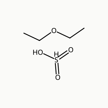 CCOCC.O=[SH](=O)O